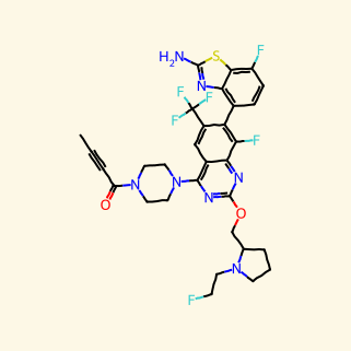 CC#CC(=O)N1CCN(c2nc(OCC3CCCN3CCF)nc3c(F)c(-c4ccc(F)c5sc(N)nc45)c(C(F)(F)F)cc23)CC1